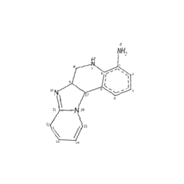 Nc1cccc2c1NCC1N=C3C=CC=CN3C21